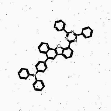 c1ccc(-c2nc(-c3ccccc3)nc(-c3cccc4c3oc3c5ccccc5c(-c5ccc(N(c6ccccc6)c6ccccc6)cc5)cc43)n2)cc1